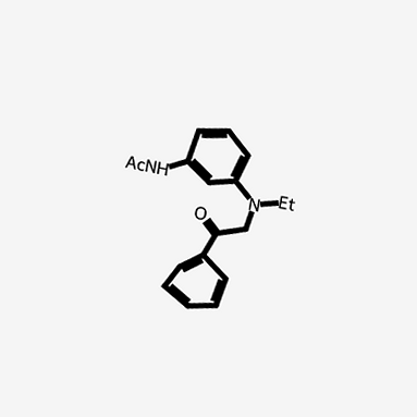 CCN(CC(=O)c1ccccc1)c1cccc(NC(C)=O)c1